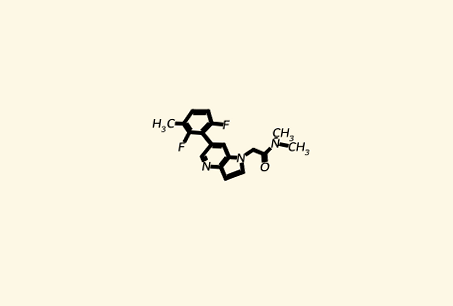 Cc1ccc(F)c(-c2cnc3ccn(CC(=O)N(C)C)c3c2)c1F